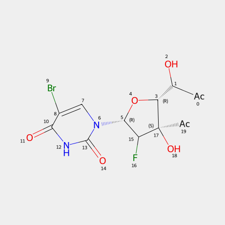 CC(=O)C(O)[C@H]1O[C@@H](n2cc(Br)c(=O)[nH]c2=O)C(F)[C@@]1(O)C(C)=O